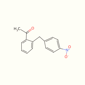 CC(=O)c1ccccc1Cc1ccc([N+](=O)[O-])cc1